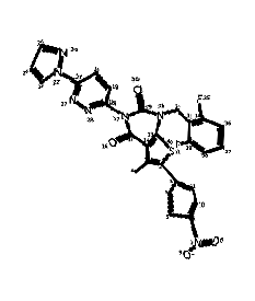 Cc1c(-c2ccc([N+](=O)[O-])cc2)sc2c1c(=O)n(-c1ccc(-n3cccn3)nn1)c(=O)n2Cc1c(F)cccc1F